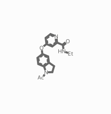 CCNC(=O)c1cc(Oc2ccc3c(c2)CCN3C(C)=O)ccn1